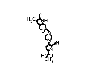 CNC(=O)c1ccc(N2CCN(CC3Cc4[nH]c(=O)c(C)cc4CO3)CC2)c(C#N)n1